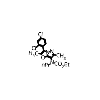 CCCN(C(=O)OCC)c1c(C)nn2c(-c3ccc(Cl)cc3Cl)c(C)oc12